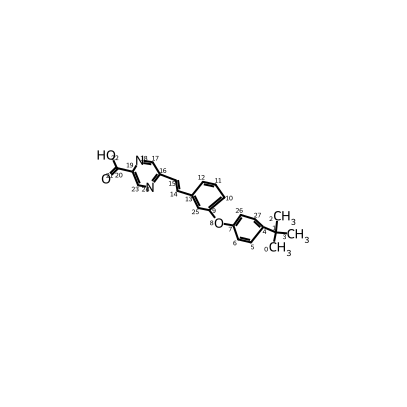 CC(C)(C)c1ccc(Oc2cccc(/C=C/c3cnc(C(=O)O)cn3)c2)cc1